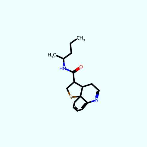 CCCC(C)NC(=O)C1CSC23CC=CC=C2N=CCC13